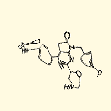 COc1ccc(CN2C(=O)Cc3c(-c4ccc(NS(C)(=O)=O)cc4)nc(C4CNCCO4)nc32)cc1